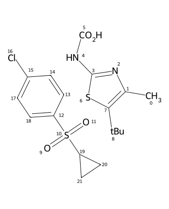 Cc1nc(NC(=O)O)sc1C(C)(C)C.O=S(=O)(c1ccc(Cl)cc1)C1CC1